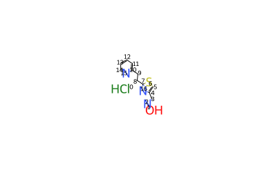 Cl.ON=Cc1csc(CCc2ccccn2)n1